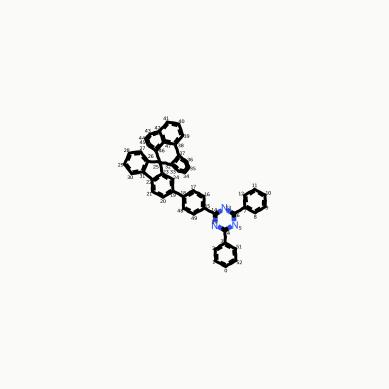 c1ccc(-c2nc(-c3ccccc3)nc(-c3ccc(-c4ccc5c(c4)C4(c6ccccc6-5)c5ccccc5-c5cccc6cccc4c56)cc3)n2)cc1